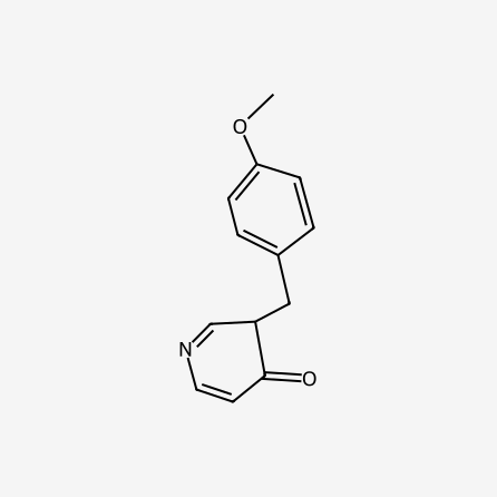 COc1ccc(CC2C=NC=CC2=O)cc1